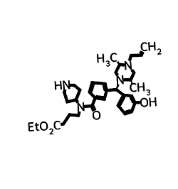 C=CCN1C[C@H](C)N([C@@H](c2cccc(O)c2)c2cccc(C(=O)N(CCCC(=O)OCC)C3CCNCC3)c2)C[C@H]1C